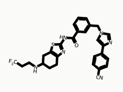 N#Cc1ccc(-c2cn(Cc3cccc(C(=O)Nc4nc5c(s4)CC(NCCC(F)(F)F)CC5)c3)cn2)cc1